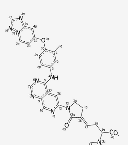 Cc1cc(Nc2ncnc3cnc(N4CC/C(=C\CC(C(=O)O)N(C)C)C4=O)cc23)ccc1Oc1ccn2ncnc2c1